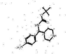 CC(C)(C)OC(=O)NC(c1ccc(N)cc1)C1CCNCC1